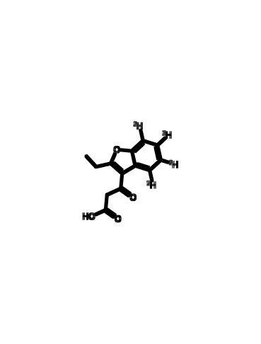 [2H]c1c([2H])c([2H])c2c(C(=O)CC(=O)O)c(CC)oc2c1[2H]